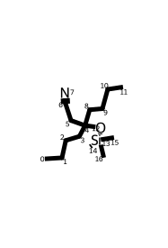 CCCCC(CC#N)(CCCC)O[Si](C)(C)C